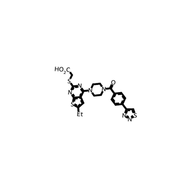 CCc1cc2c(N3CCN(C(=O)c4ccc(-c5csnn5)cc4)CC3)nc(SCC(=O)O)nc2s1